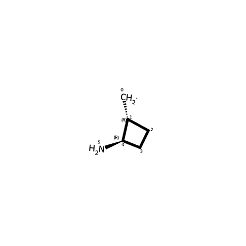 [CH2][C@@H]1CC[C@H]1N